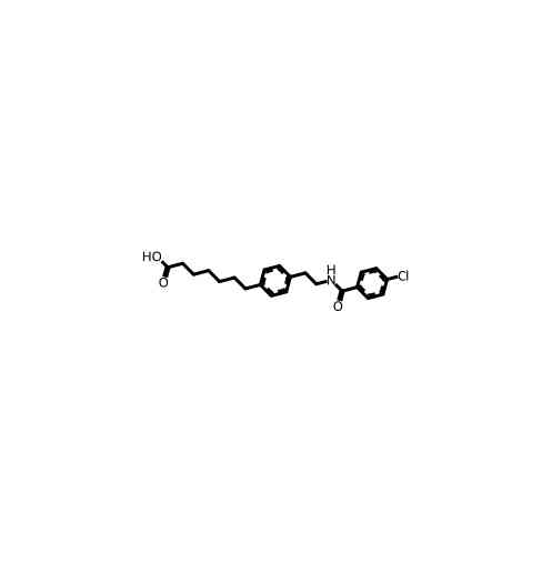 O=C(O)CCCCCCc1ccc(CCNC(=O)c2ccc(Cl)cc2)cc1